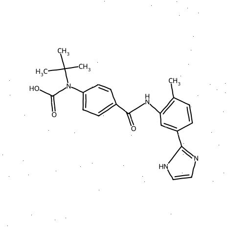 Cc1ccc(-c2ncc[nH]2)cc1NC(=O)c1ccc(N(C(=O)O)C(C)(C)C)cc1